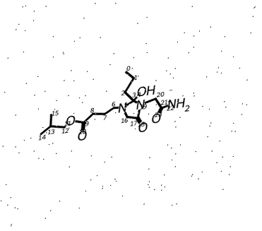 CCCC1(O)N(CCCC(=O)OCC(C)C)CC(=O)N1CC(N)=O